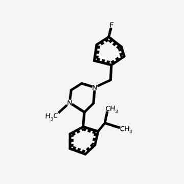 CC(C)c1ccccc1C1CN(Cc2ccc(F)cc2)CCN1C